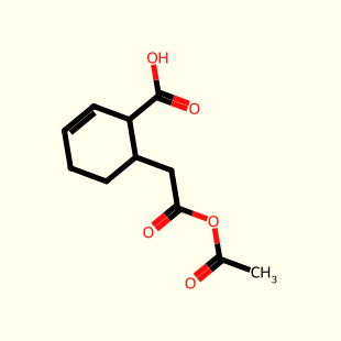 CC(=O)OC(=O)CC1CCC=CC1C(=O)O